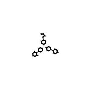 Cc1cc(C)c(-c2ccc(N(c3ccc(-c4c(C)cc(C)cc4C)cc3)c3ccc(-c4oc(C)cc4C)c(C)c3)cc2)c(C)c1